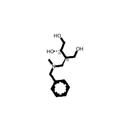 CN(Cc1ccccc1)C[C@H](CO)[C@H](O)CO